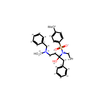 COc1ccc(S(=O)(=O)N(CC(C)C)C(O)(CCN(Cc2ccccc2)C(=O)O)Cc2ccccc2)cc1